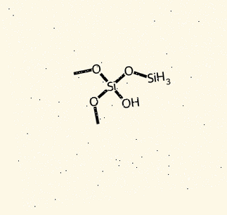 CO[Si](O)(OC)O[SiH3]